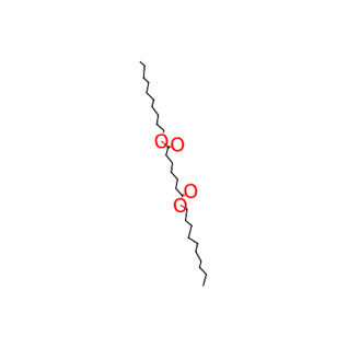 CCCCCCCCCCOC(=O)CCCCCC(=O)OCCCCCCCCCC